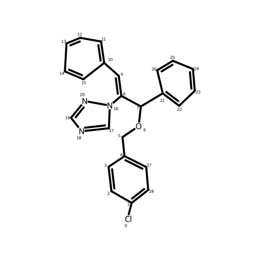 Clc1ccc(COC(C(=Cc2ccccc2)n2cncn2)c2ccccc2)cc1